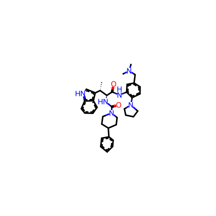 C[C@@H](c1c[nH]c2ccccc12)[C@@H](NC(=O)N1CCC(c2ccccc2)CC1)C(=O)Nc1cc(CN(C)C)ccc1N1CCCC1